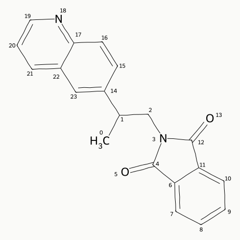 CC(CN1C(=O)c2ccccc2C1=O)c1ccc2ncccc2c1